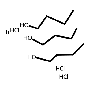 CCCCO.CCCCO.CCCCO.Cl.Cl.Cl.[Ti]